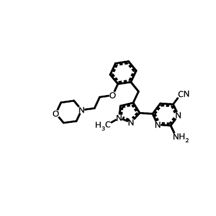 Cn1cc(Cc2ccccc2OCCN2CCOCC2)c(-c2cc(C#N)nc(N)n2)n1